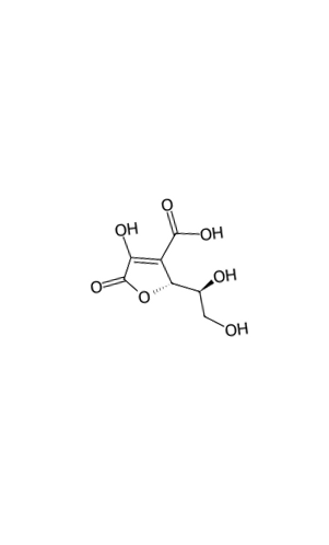 O=C(O)C1=C(O)C(=O)O[C@H]1[C@@H](O)CO